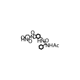 CC(=O)NC(C(=O)NCc1ccc2c(c1)CN(C1CCC(=O)NC1=O)C2=O)c1ccccc1